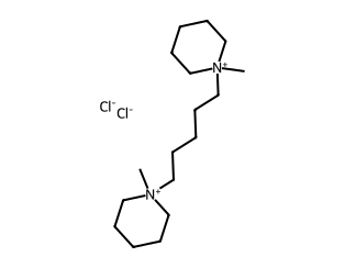 C[N+]1(CCCCC[N+]2(C)CCCCC2)CCCCC1.[Cl-].[Cl-]